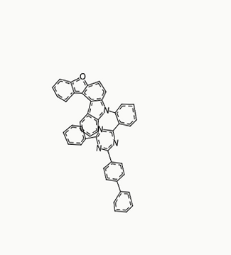 c1ccc(-c2ccc(-c3nc(-c4ccccc4)nc(-c4ccccc4-n4c5ccccc5c5c6c(ccc54)oc4ccccc46)n3)cc2)cc1